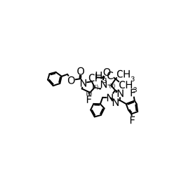 CC(C)(C)[C@H](c1nc(-c2cc(F)ccc2F)nn1Cc1ccccc1)N(C[C@@H]1CN(C(=O)OCc2ccccc2)C[C@@H]1F)C(=O)Cl